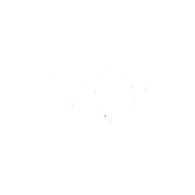 CCS/C(C)=C/CC(C)[C@H](C)C[C@@H]1C=CC=CC1C(C)Cl